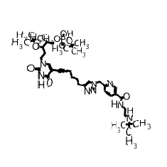 CC(COP(=O)(O)OC(C)(C)C)C(CCn1cc(C#CCCCCc2cn(Cc3ccc(C(=O)NCCNC(C)(C)C)cn3)nn2)c(=O)[nH]c1=O)OC(C)(C)C